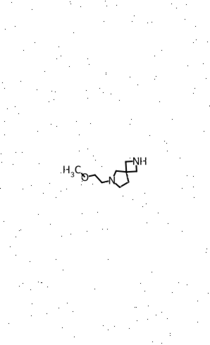 COCCN1CCC2(CNC2)C1